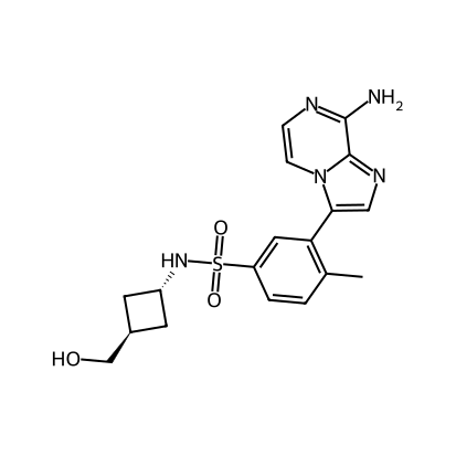 Cc1ccc(S(=O)(=O)N[C@H]2C[C@H](CO)C2)cc1-c1cnc2c(N)nccn12